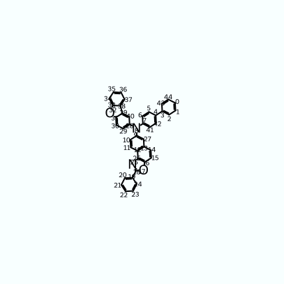 c1ccc(-c2ccc(N(c3ccc4c(ccc5oc(-c6ccccc6)nc54)c3)c3ccc4oc5ccccc5c4c3)cc2)cc1